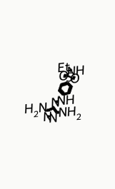 CCNS(=O)(=O)c1ccc(NN=C2C(N)=NN=C2N)cc1